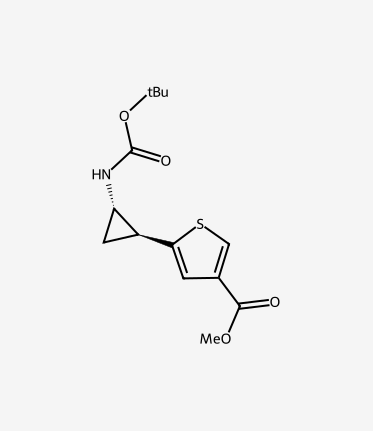 COC(=O)c1csc([C@H]2C[C@@H]2NC(=O)OC(C)(C)C)c1